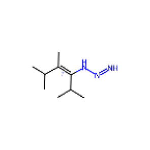 C/C(=C(\NN=N)C(C)C)C(C)C